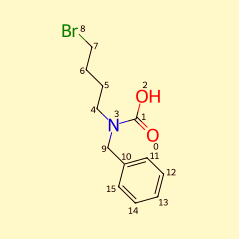 O=C(O)N(CCCCBr)Cc1ccccc1